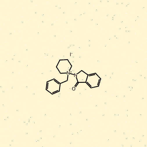 O=C1c2ccccc2CN1[N+]1(Cc2ccccc2)CCCCC1.[I-]